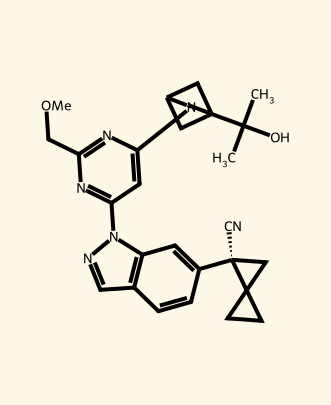 COCc1nc(N2CC3(C(C)(C)O)CC2C3)cc(-n2ncc3ccc([C@@]4(C#N)CC45CC5)cc32)n1